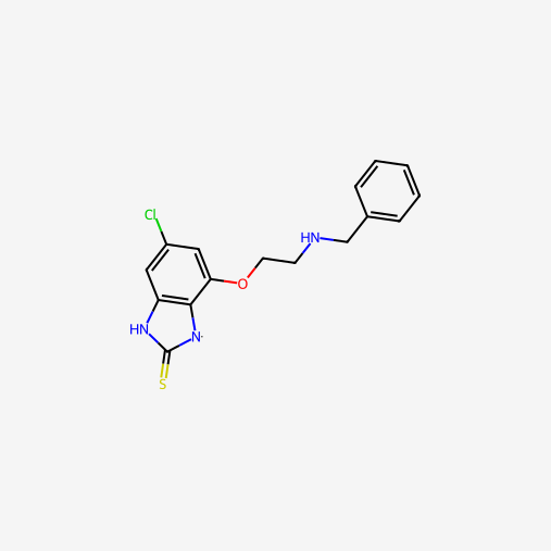 S=C1[N]c2c(cc(Cl)cc2OCCNCc2ccccc2)N1